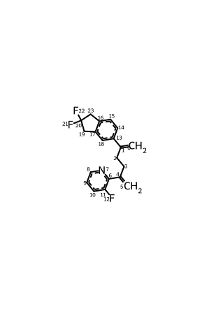 C=C(CCC(=C)c1ncccc1F)c1ccc2c(c1)CC(F)(F)C2